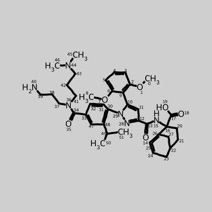 COc1cccc(OC)c1-c1cc(C(=O)NC2(C(=O)O)CCC3CC=C=C2C3)nn1-c1ccc(C(=O)N(CCCN)CCCN(C)C)cc1C(C)C